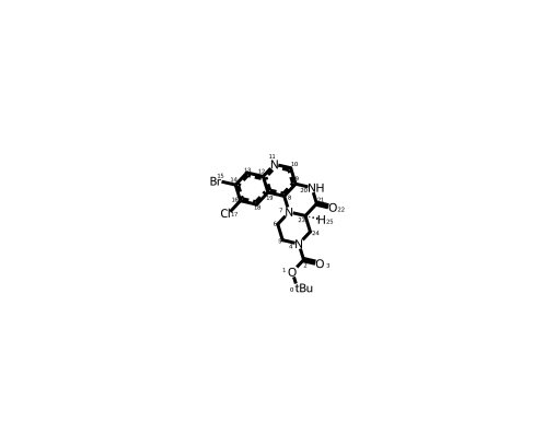 CC(C)(C)OC(=O)N1CCN2c3c(cnc4cc(Br)c(Cl)cc34)NC(=O)[C@H]2C1